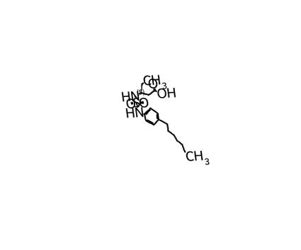 CCCCCCCc1ccc(NS(=O)(=O)N[C@@H](CC)CC(=O)O)cc1